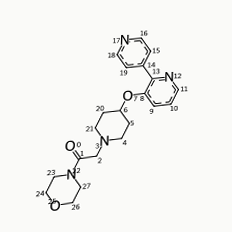 O=C(CN1CCC(Oc2cccnc2-c2ccncc2)CC1)N1CCOCC1